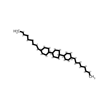 CCCCCCCCCC1CCC(C2CCC(C3CCC(CCCCCCCC)CC3)CC2)CC1